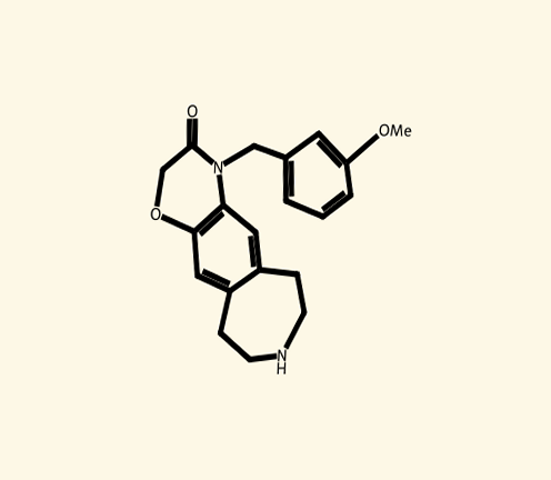 COc1cccc(CN2C(=O)COc3cc4c(cc32)CCNCC4)c1